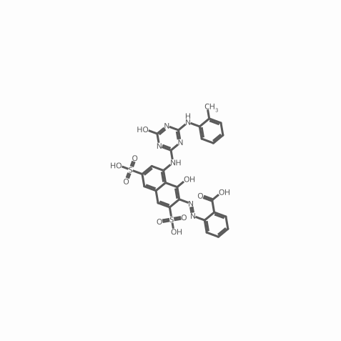 Cc1ccccc1Nc1nc(O)nc(Nc2cc(S(=O)(=O)O)cc3cc(S(=O)(=O)O)c(/N=N/c4ccccc4C(=O)O)c(O)c23)n1